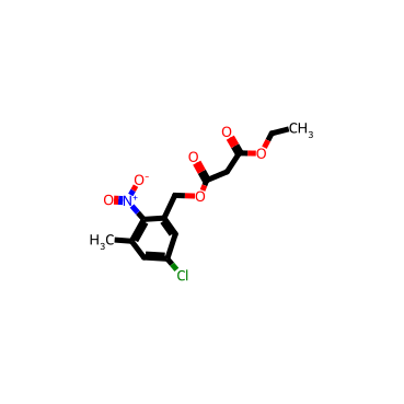 CCOC(=O)CC(=O)OCc1cc(Cl)cc(C)c1[N+](=O)[O-]